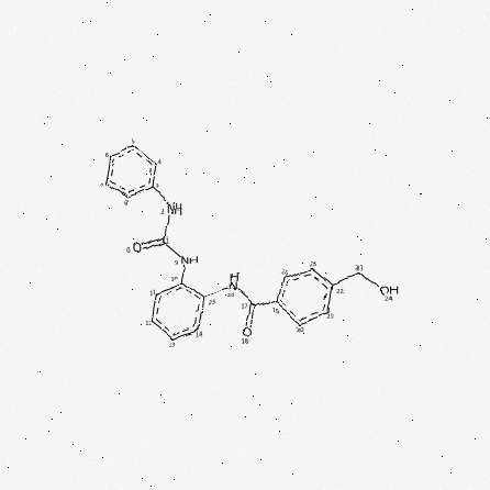 O=C(Nc1ccccc1)Nc1ccccc1NC(=O)c1ccc(CO)cc1